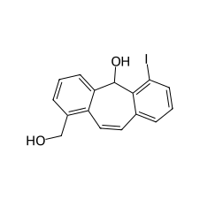 OCc1cccc2c1C=Cc1cccc(I)c1C2O